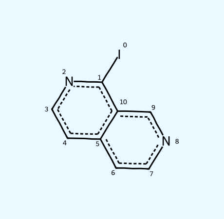 Ic1nccc2ccncc12